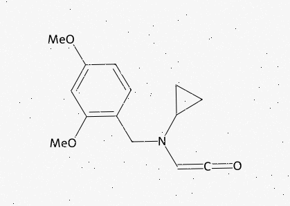 COc1ccc(CN(C=C=O)C2CC2)c(OC)c1